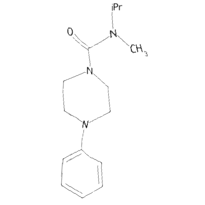 CC(C)N(C)C(=O)N1CCN(c2ccccc2)CC1